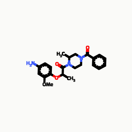 COc1cc(N)ccc1OC(C)C(=O)N1CCN(C(=O)c2ccccc2)CC1C